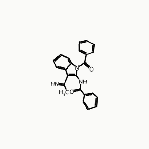 CC(=N)c1c(NC(=O)c2ccccc2)n(C(=O)c2ccccc2)c2ccccc12